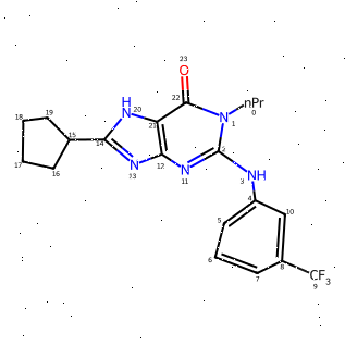 CCCn1c(Nc2cccc(C(F)(F)F)c2)nc2nc(C3CCCC3)[nH]c2c1=O